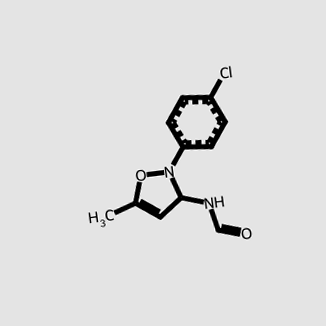 CC1=CC(NC=O)N(c2ccc(Cl)cc2)O1